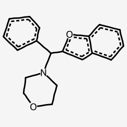 c1ccc(C(c2cc3ccccc3o2)N2CCOCC2)cc1